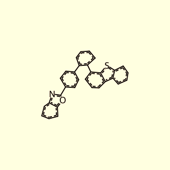 c1ccc(-c2cccc3c2sc2ccccc23)c(-c2ccc(-c3nc4ccccc4o3)cc2)c1